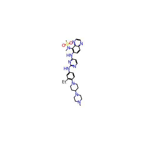 CCc1cc(Nc2nccc(Nc3ccc4nccnc4c3N(C)S(C)(=O)=O)n2)ccc1N1CCC(N2CCN(C)CC2)CC1